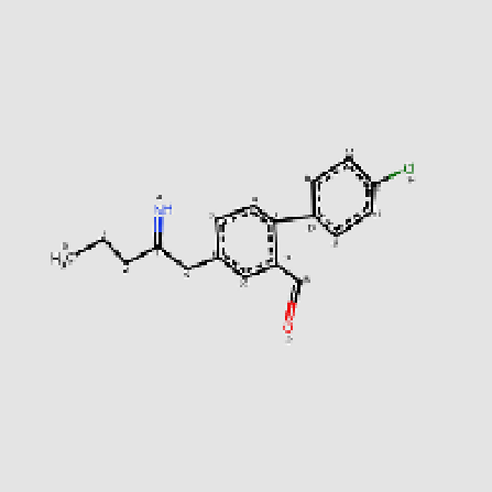 CCCC(=N)Cc1ccc(-c2ccc(Cl)cc2)c(C=O)c1